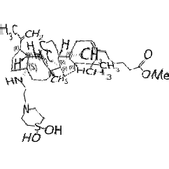 C=C(C)[C@@H]1CC[C@]2(NCCN3CCS(O)(O)CC3)CC[C@]3(C)[C@H](CC[C@@H]4[C@@]5(C)CC=C(CCCCC(=O)OC)C(C)(C)[C@@H]5CC[C@]43C)[C@@H]12